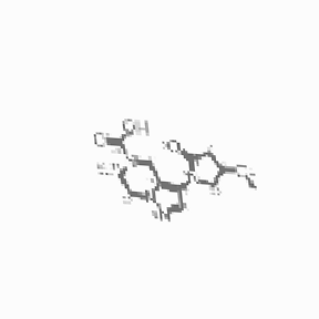 COC1CC(=O)N(c2cnn3c2CN(C(=O)O)[C@@H](C)C3)C1